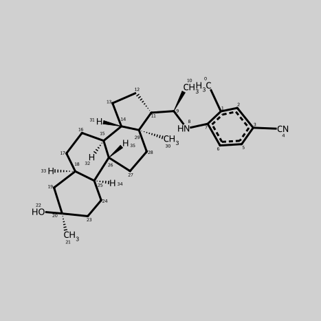 Cc1cc(C#N)ccc1N[C@H](C)[C@H]1CC[C@H]2[C@@H]3CC[C@@H]4C[C@](C)(O)CC[C@@H]4[C@H]3CC[C@]12C